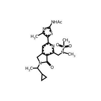 CC(=O)Nc1nc(C)c(-c2cc3c(c(CN(C)S(C)(=O)=O)n2)C(=O)N(C(C)C2CC2)C3)s1